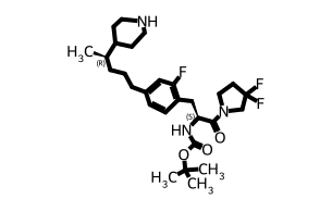 C[C@H](CCCc1ccc(C[C@H](NC(=O)OC(C)(C)C)C(=O)N2CCC(F)(F)C2)c(F)c1)C1CCNCC1